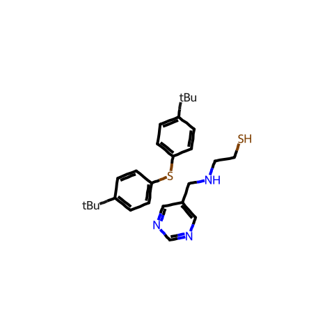 CC(C)(C)c1ccc(Sc2ccc(C(C)(C)C)cc2)cc1.SCCNCc1cncnc1